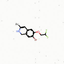 CC(=O)C1=Cc2cc(OCC(F)F)c(Br)cc2CN1